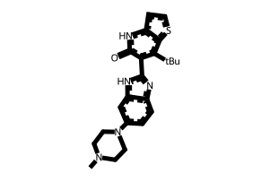 CN1CCN(c2ccc3nc(-c4c(C(C)(C)C)c5sccc5[nH]c4=O)[nH]c3c2)CC1